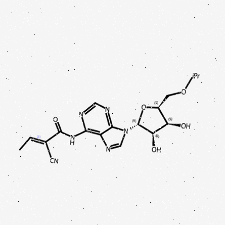 C/C=C(\C#N)C(=O)Nc1ncnc2c1ncn2[C@@H]1O[C@@H](COC(C)C)[C@@H](O)[C@H]1O